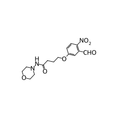 O=Cc1cc(OCCCC(=O)NN2CCOCC2)ccc1[N+](=O)[O-]